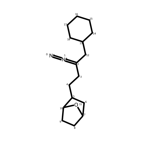 [N-]=[N+]=C(CCC1CC2CCC1O2)CC1CCCCC1